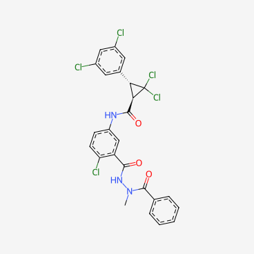 CN(NC(=O)c1cc(NC(=O)[C@H]2[C@H](c3cc(Cl)cc(Cl)c3)C2(Cl)Cl)ccc1Cl)C(=O)c1ccccc1